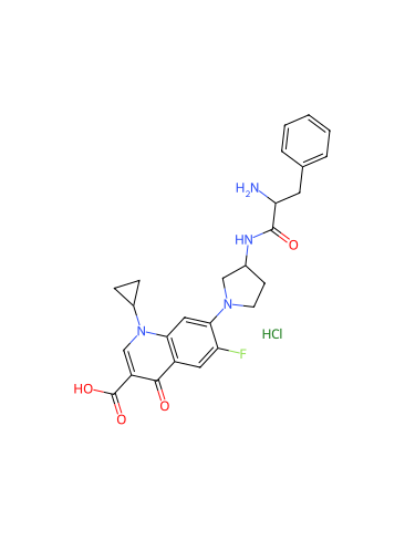 Cl.NC(Cc1ccccc1)C(=O)NC1CCN(c2cc3c(cc2F)c(=O)c(C(=O)O)cn3C2CC2)C1